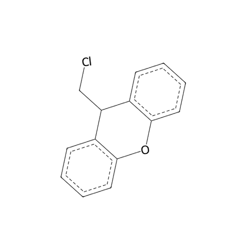 ClCC1c2ccccc2Oc2ccccc21